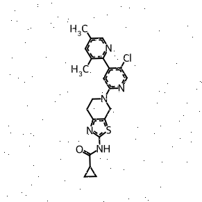 Cc1cnc(-c2cc(N3CCc4nc(NC(=O)C5CC5)sc4C3)ncc2Cl)c(C)c1